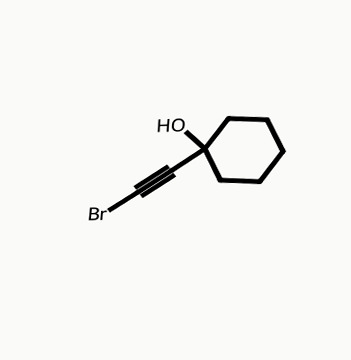 OC1(C#CBr)CCCCC1